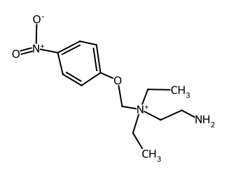 CC[N+](CC)(CCN)COc1ccc([N+](=O)[O-])cc1